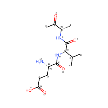 CC(=O)[C@H](C)NC(=O)[C@@H](NC(=O)[C@@H](N)CCC(=O)O)C(C)C